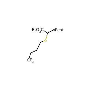 CCCCCC(SCCCC(F)(F)F)C(=O)OCC